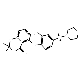 CC1(C)OC(=O)c2c(Oc3ccc(S(=O)(=O)N4CCOCC4)cc3N)cccc2O1